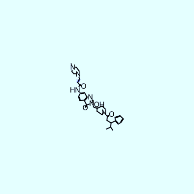 CC(C)C(CC(=O)N1CCC(O)(Cn2cnc3cc(NC(=O)/C=C/N4CCN(C)CC4)ccc3c2=O)CC1)c1ccccc1